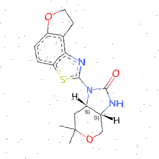 CC1(C)C[C@H]2[C@@H](CO1)NC(=O)N2c1nc2c3c(ccc2s1)OCC3